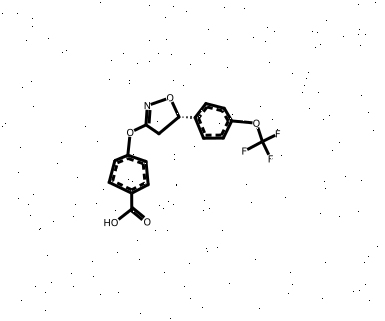 O=C(O)c1ccc(OC2=NO[C@H](c3ccc(OC(F)(F)F)cc3)C2)cc1